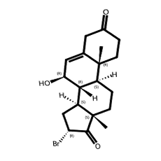 C[C@]12CCC(=O)CC1=C[C@H](O)[C@@H]1[C@@H]2CC[C@]2(C)C(=O)[C@H](Br)C[C@@H]12